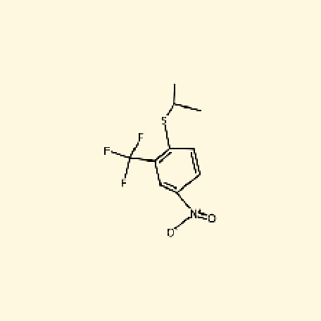 CC(C)Sc1ccc([N+](=O)[O-])cc1C(F)(F)F